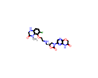 CN1C(=O)CNc2ccc(F)c(OCCNC[C@H]3CN(c4cnc5c(n4)NC(=O)CO5)C(=O)O3)c21